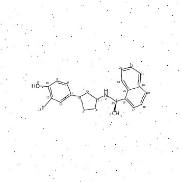 C[C@@H](NC1CCC(c2ccc(O)c(F)c2)C1)c1cccc2ccccc12